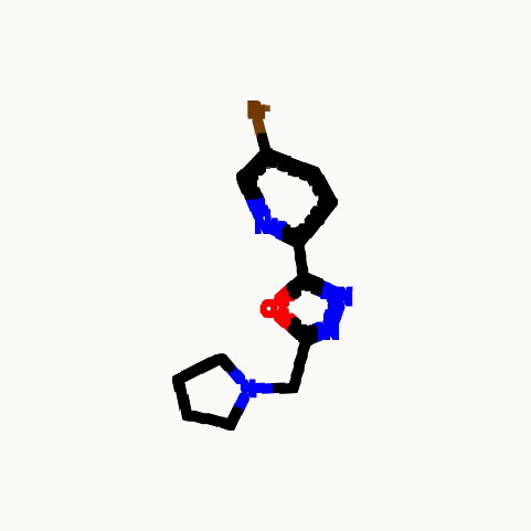 Brc1ccc(-c2nnc(CN3CCCC3)o2)nc1